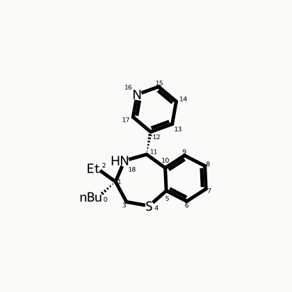 CCCC[C@@]1(CC)CSc2ccccc2[C@@H](c2cccnc2)N1